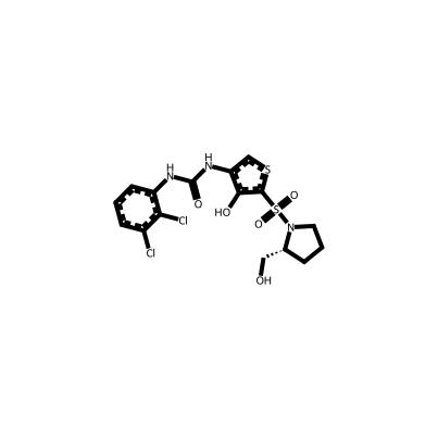 O=C(Nc1csc(S(=O)(=O)N2CCC[C@@H]2CO)c1O)Nc1cccc(Cl)c1Cl